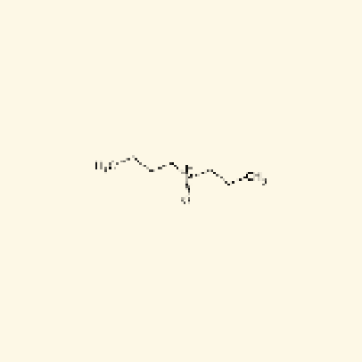 CCCC[PH](=O)CCC